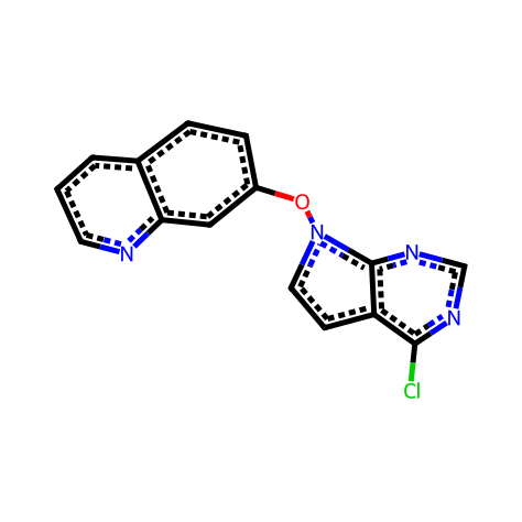 Clc1ncnc2c1ccn2Oc1ccc2cccnc2c1